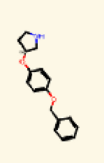 c1ccc(COc2ccc(O[C@H]3CCNC3)cc2)cc1